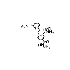 CC(=O)Nc1cccc(CCc2ccc(C(=O)NN)cc2CN)n1.Cl.Cl